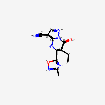 CCc1c(-c2nc(C)no2)[nH]c2c(C#N)cnn2c1=O